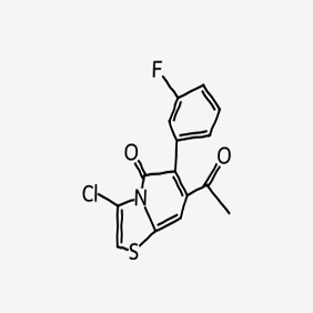 CC(=O)c1cc2scc(Cl)n2c(=O)c1-c1cccc(F)c1